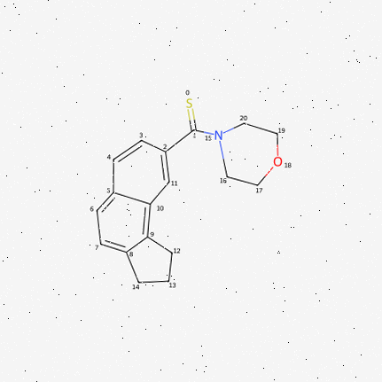 S=C(c1ccc2ccc3c(c2c1)CCC3)N1CCOCC1